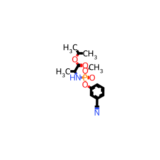 COP(=O)(NC(C)C(=O)OC(C)C)Oc1cccc(C#N)c1